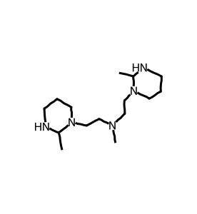 CC1NCCCN1CCN(C)CCN1CCCNC1C